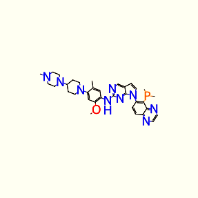 COc1cc(N2CCC(N3CCN(C)CC3)CC2)c(C)cc1Nc1ncc2ccn(-c3ccc4nccnc4c3P(C)C)c2n1